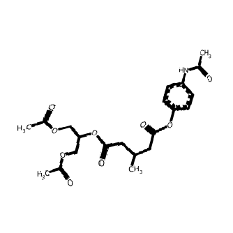 CC(=O)Nc1ccc(OC(=O)CC(C)CC(=O)OC(COC(C)=O)COC(C)=O)cc1